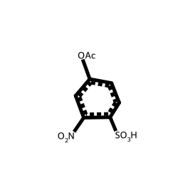 CC(=O)Oc1ccc(S(=O)(=O)O)c([N+](=O)[O-])c1